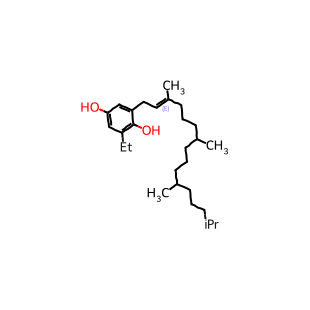 CCc1cc(O)cc(C/C=C(\C)CCCC(C)CCCC(C)CCCC(C)C)c1O